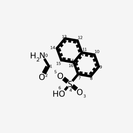 NC=O.O=S(=O)(O)c1cccc2ccccc12